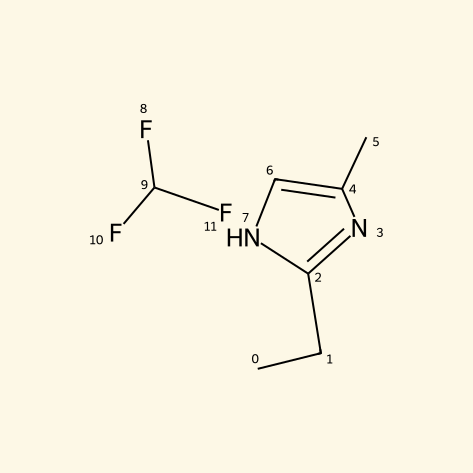 CCc1nc(C)c[nH]1.FC(F)F